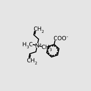 C=CC[N+](C)(C)CC=C.O=C([O-])c1ccccc1